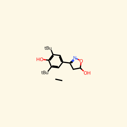 CC.CC(C)(C)c1cc(C2=NOC(O)C2)cc(C(C)(C)C)c1O